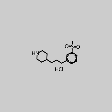 CS(=O)(=O)c1cccc(CCCC2CCNCC2)c1.Cl